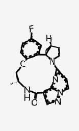 C[C@@H]1CCc2ccc(F)cc2[C@@]23C[C@@H]2CCN3c2ccn3ncc(c3n2)C(=O)N1